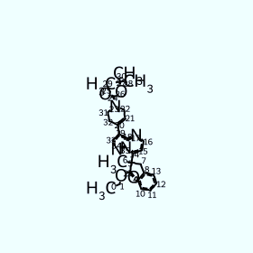 CCOC(=O)C(C)(Cc1ccccc1)c1ccnc2c(C3=CCN(C(=O)OC(C)(C)C)CC3)cnn12